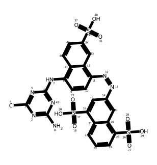 Nc1nc(Cl)nc(Nc2ccc(/N=N\c3cc(S(=O)(=O)O)c4cccc(S(=O)(=O)O)c4c3)c3cc(S(=O)(=O)O)ccc23)n1